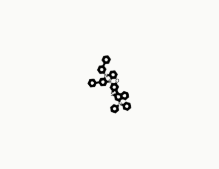 c1ccc(-c2cccc(N3c4cc(-c5ccccc5)ccc4B4c5cc6sc7cc(N(c8ccccc8)c8ccccc8)c8ccccc8c7c6cc5Oc5cccc3c54)c2)cc1